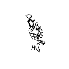 COc1cccc(C(=O)N[C@H](C(=O)[N+]2(C(=O)N[C@H](C=O)CC(=O)O)CCCC2)C(C)(C)C)c1C